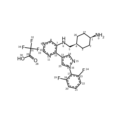 N[C@H]1CC[C@@H](CNc2cncnc2-c2cnn(-c3c(F)cccc3F)c2)CC1.O=C(O)C(F)(F)F